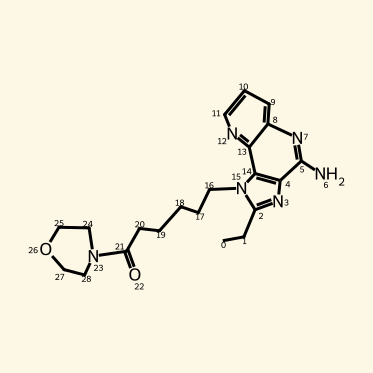 CCc1nc2c(N)nc3cccnc3c2n1CCCCCC(=O)N1CCOCC1